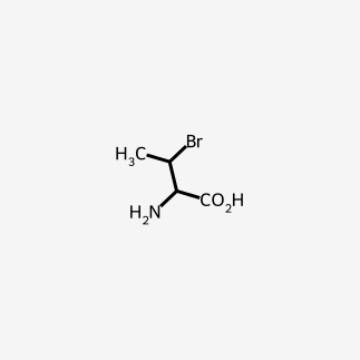 CC(Br)C(N)C(=O)O